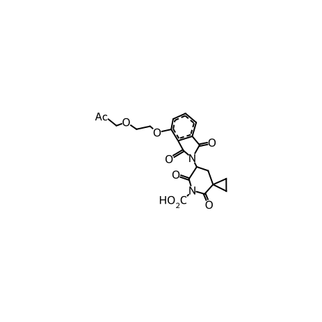 CC(=O)COCCOc1cccc2c1C(=O)N(C1CC3(CC3)C(=O)N(C(=O)O)C1=O)C2=O